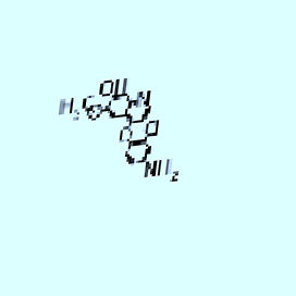 COc1cc2c(Oc3ccc(N)cc3Cl)ccnc2cc1O